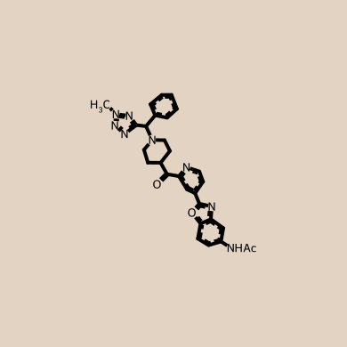 CC(=O)Nc1ccc2oc(-c3ccnc(C(=O)C4CCN(C(c5ccccc5)c5nnn(C)n5)CC4)c3)nc2c1